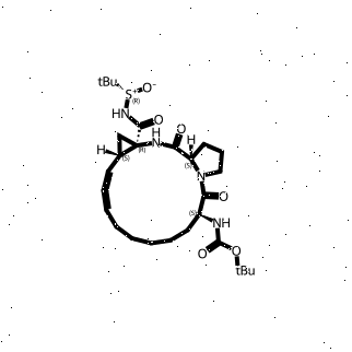 CC(C)(C)OC(=O)N[C@H]1CCCCCC=C=C[C@@H]2C[C@@]2(C(=O)N[S@@+]([O-])C(C)(C)C)NC(=O)[C@@H]2CCCN2C1=O